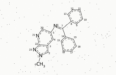 Cn1cc2cc(N=C(c3ccccc3)c3ccccc3)cnc2n1